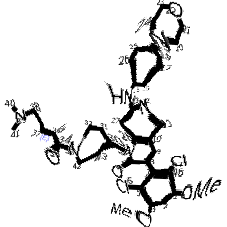 COc1cc(OC)c(Cl)c(-c2cc3cnc(Nc4ccc(N5CCOCC5)cc4)cc3n(C3CCN(C(=O)/C=C/CN(C)C)CC3)c2=O)c1Cl